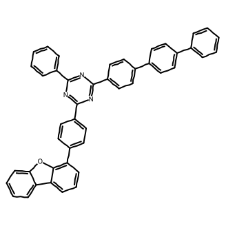 c1ccc(-c2ccc(-c3ccc(-c4nc(-c5ccccc5)nc(-c5ccc(-c6cccc7c6oc6ccccc67)cc5)n4)cc3)cc2)cc1